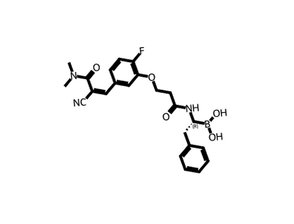 CN(C)C(=O)C(C#N)=Cc1ccc(F)c(OCCC(=O)N[C@@H](Cc2ccccc2)B(O)O)c1